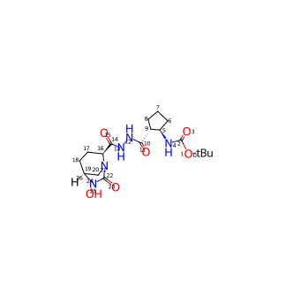 CC(C)(C)OC(=O)N[C@@H]1CCC[C@H]1C(=O)NNC(=O)[C@@H]1CC[C@H]2CN1C(=O)N2O